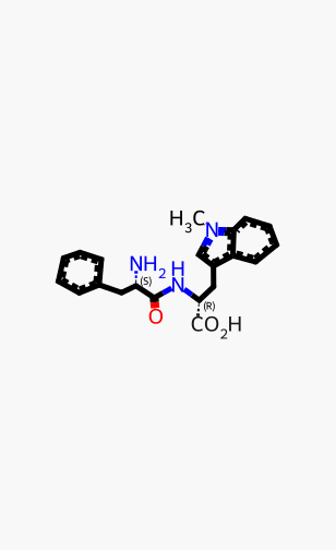 Cn1cc(C[C@@H](NC(=O)[C@@H](N)Cc2ccccc2)C(=O)O)c2ccccc21